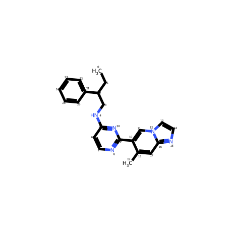 CCC(CNc1ccnc(-c2cn3ccnc3cc2C)n1)c1ccccc1